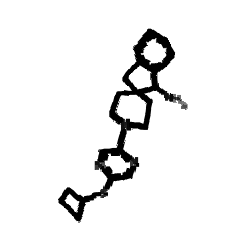 N[C@@H]1c2ccccc2CC12CCN(c1cnc(SC3CCC3)cn1)CC2